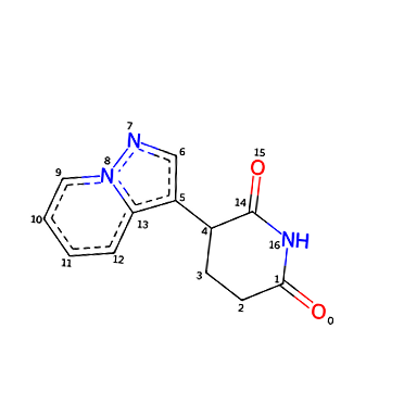 O=C1CCC(c2cnn3ccccc23)C(=O)N1